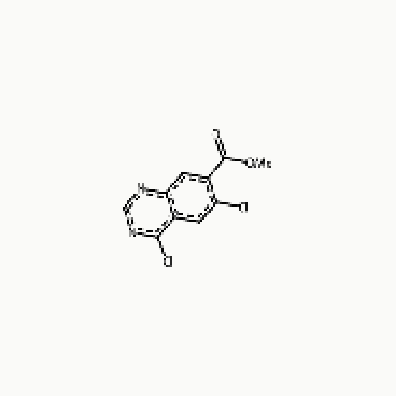 COC(=O)c1cc2ncnc(Cl)c2cc1Cl